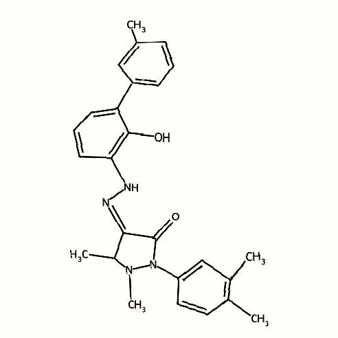 Cc1cccc(-c2cccc(N/N=C3\C(=O)N(c4ccc(C)c(C)c4)N(C)C3C)c2O)c1